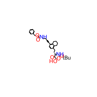 CC(C)(C)OC(=O)N[C@@H](CCc1ccc(C#CCCNC(=O)OCc2ccccc2)c2c1CCCC2)C(=O)CO